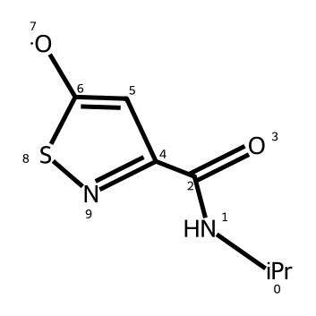 CC(C)NC(=O)c1cc([O])sn1